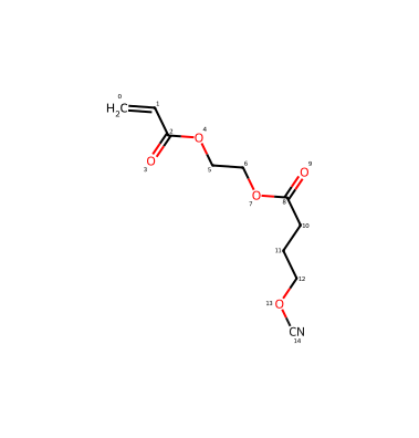 C=CC(=O)OCCOC(=O)CCCOC#N